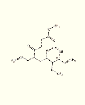 C=CCN(CC(OC)C(OC)[C@H](O)C=C)C(=O)CCC(=O)OC